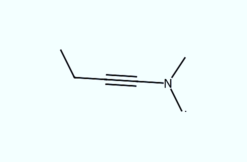 [CH2]N(C)C#CCC